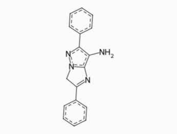 Nc1c(-c2ccccc2)nn2c1N=C(c1ccccc1)C2